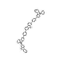 CC1(C)c2cc(-c3ccc(-c4ccc5c(c4)c4ccccc4n5-c4ccccc4)cc3)ccc2-c2ccc(-c3ccc(-c4ccc5c(c4)c4ccccc4n5-c4ccc5c(c4)C(C)(C)c4ccccc4-5)cc3)cc21